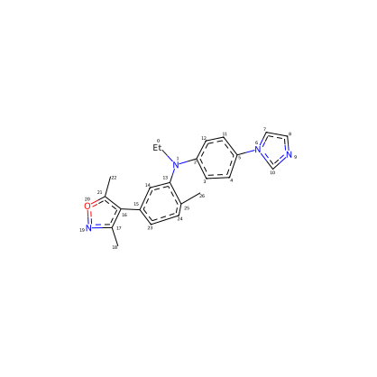 CCN(c1ccc(-n2ccnc2)cc1)c1cc(-c2c(C)noc2C)ccc1C